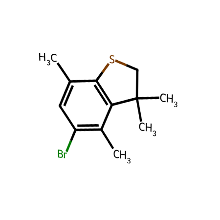 Cc1cc(Br)c(C)c2c1SCC2(C)C